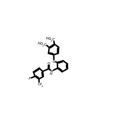 O=C(Nc1ccccc1Oc1ccc(C(=O)O)c(C(=O)O)c1)c1ccc(F)c(C(F)(F)F)c1